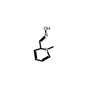 CN1C=CC=CC1/C=N/O